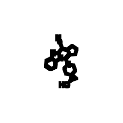 N#Cc1c2c(c(N3CCC4(CC3)CC4O)n3c1nc1ccccc13)CCC2